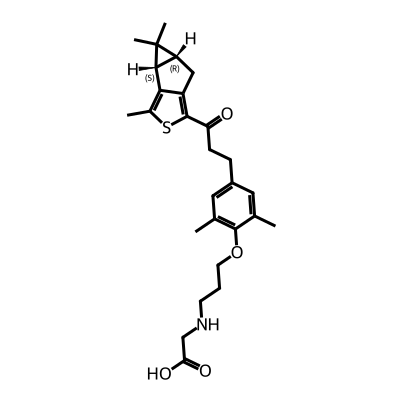 Cc1cc(CCC(=O)c2sc(C)c3c2C[C@@H]2[C@H]3C2(C)C)cc(C)c1OCCCNCC(=O)O